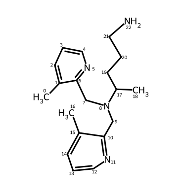 Cc1cccnc1CN(Cc1ncccc1C)C(C)CCCN